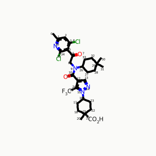 Cc1cc(Cl)c(C(=O)CN(C(=O)c2cnn(C3CCC(C)(C(=O)O)CC3)c2C(F)(F)F)C2CCC(C)(C)CC2)c(Cl)n1